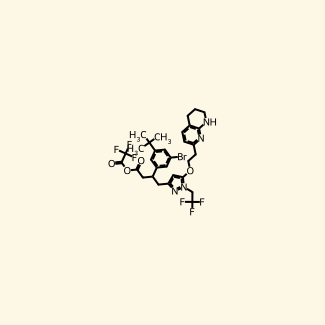 CC(C)(C)c1cc(Br)cc(C(CC(=O)OC(=O)C(F)(F)F)Cc2cc(OCCc3ccc4c(n3)NCCC4)n(CC(F)(F)F)n2)c1